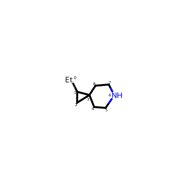 CCC1CC12CCNCC2